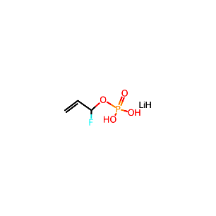 C=CC(F)OP(=O)(O)O.[LiH]